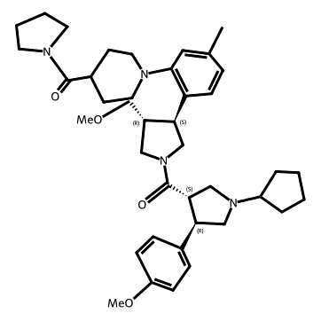 COC[C@H]1CN(C(=O)[C@@H]2CN(C3CCCC3)C[C@H]2c2ccc(OC)cc2)C[C@@H]1c1ccc(C)cc1N1CCC(C(=O)N2CCCC2)CC1